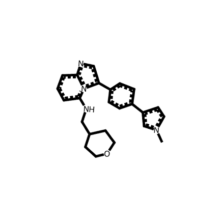 Cn1ccc(-c2ccc(-c3cnc4cccc(NCC5CCOCC5)n34)cc2)c1